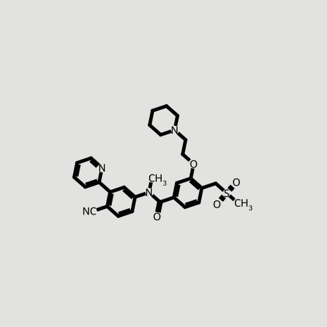 CN(C(=O)c1ccc(CS(C)(=O)=O)c(OCCN2CCCCC2)c1)c1ccc(C#N)c(-c2ccccn2)c1